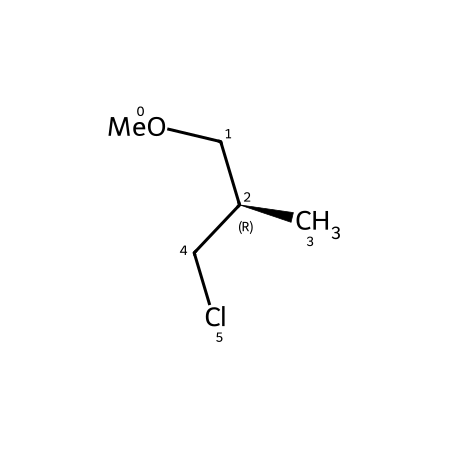 COC[C@@H](C)CCl